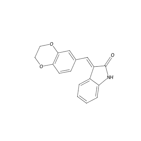 O=C1Nc2ccccc2/C1=C\c1ccc2c(c1)OCCO2